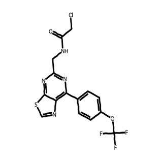 O=C(CCl)NCc1nc(-c2ccc(OC(F)(F)F)cc2)c2ncsc2n1